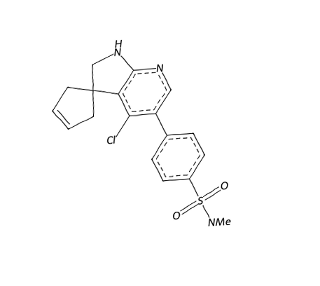 CNS(=O)(=O)c1ccc(-c2cnc3c(c2Cl)C2(CC=CC2)CN3)cc1